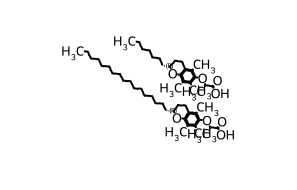 CCCCCCCCCCCCCCCCC[C@@H]1CCc2c(C)c(OC(C)C(=O)O)c(C)c(C)c2O1.CCCCCCC[C@@H]1CCc2c(C)c(OC(C)C(=O)O)c(C)c(C)c2O1